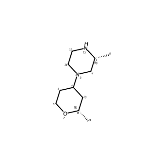 C[C@@H]1CN(C2CCO[C@@H](C)C2)CCN1